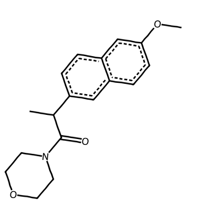 COc1ccc2cc(C(C)C(=O)N3CCOCC3)ccc2c1